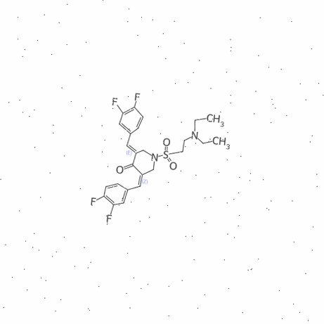 CCN(CC)CCS(=O)(=O)N1C/C(=C/c2ccc(F)c(F)c2)C(=O)/C(=C/c2ccc(F)c(F)c2)C1